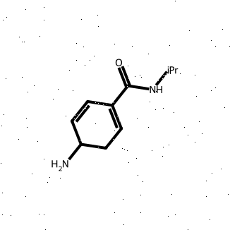 CC(C)NC(=O)C1=CCC(N)C=C1